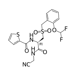 N#CCNC(=O)[C@H](CS(=O)(=O)Cc1ccccc1OC(F)F)NC(=O)c1cccs1